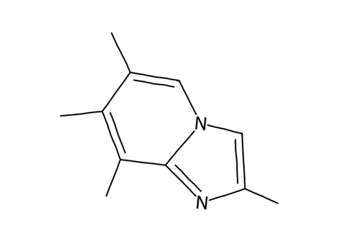 Cc1cn2cc(C)c(C)c(C)c2n1